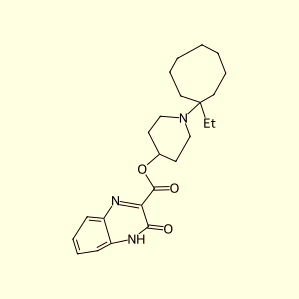 CCC1(N2CCC(OC(=O)c3nc4ccccc4[nH]c3=O)CC2)CCCCCCC1